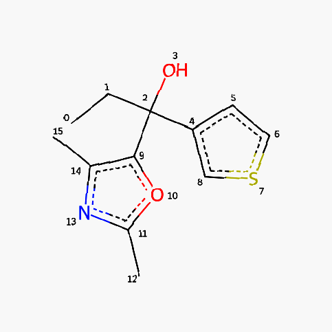 CCC(O)(c1ccsc1)c1oc(C)nc1C